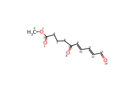 COC(=O)CCCC(=O)/C=C/C=C/C=O